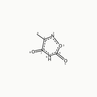 Cc1noc(=O)[nH]c1=O